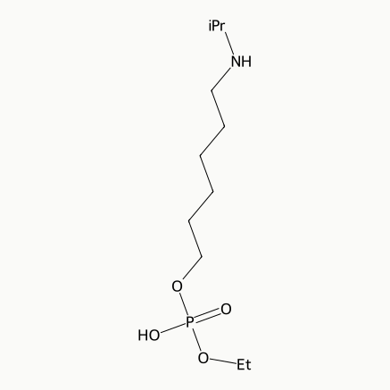 CCOP(=O)(O)OCCCCCCNC(C)C